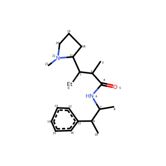 CCC(C(C)C(=O)NC(C)C(C)c1ccccc1)C1CCCN1C